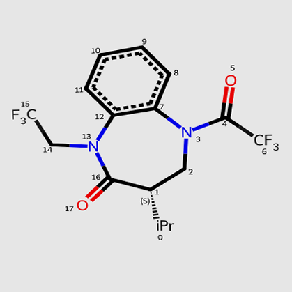 CC(C)[C@H]1CN(C(=O)C(F)(F)F)c2ccccc2N(CC(F)(F)F)C1=O